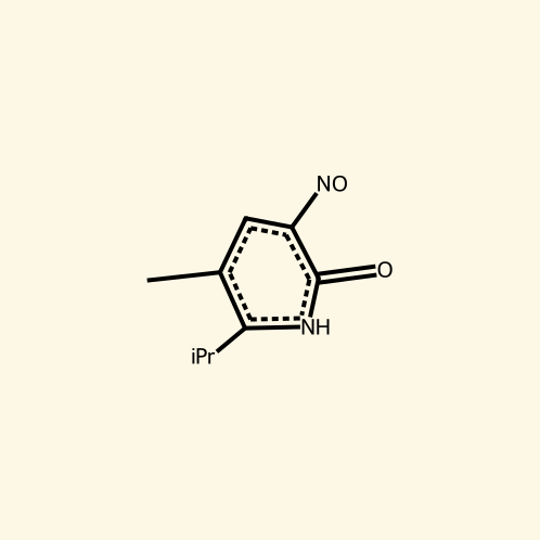 Cc1cc(N=O)c(=O)[nH]c1C(C)C